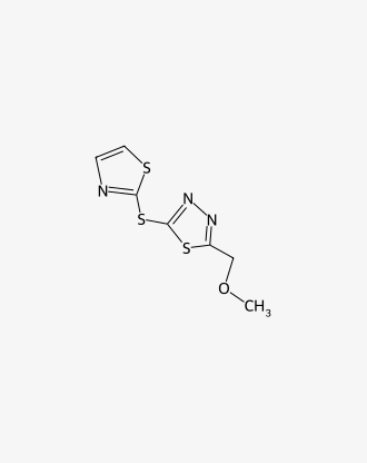 COCc1nnc(Sc2nccs2)s1